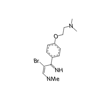 CN/C=C(/Br)C(=N)c1ccc(OCCN(C)C)cc1